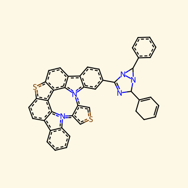 C1=CCCC(C2N=C(c3ccc4c5ccc6sc7ccc8c9ccccc9n9c%10cscc%10n(c4c3)c5c6c7c89)N3C(c4ccccc4)N23)=C1